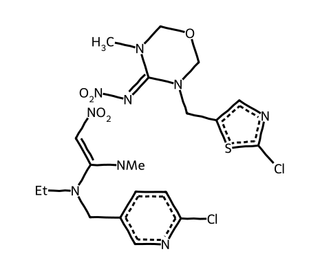 CCN(Cc1ccc(Cl)nc1)/C(=C/[N+](=O)[O-])NC.CN1COCN(Cc2cnc(Cl)s2)/C1=N/[N+](=O)[O-]